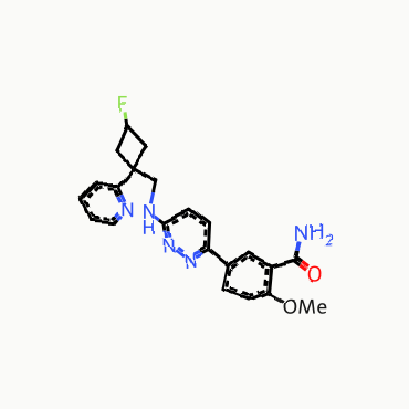 COc1ccc(-c2ccc(NCC3(c4ccccn4)CC(F)C3)nn2)cc1C(N)=O